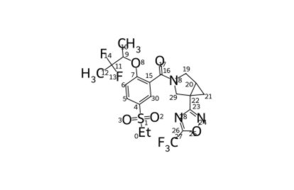 CCS(=O)(=O)c1ccc(OC(C)C(C)(F)F)c(C(=O)N2CC3CC3(c3noc(C(F)(F)F)n3)C2)c1